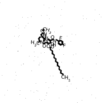 CCCCCCCCCCCCCCCC(=O)Oc1c2n(cc(C(=O)NCc3ccc(F)cc3F)c1=O)[C@@H]1CN(C2=O)[C@@H](C)CC[C@]12CC(OC)=NO2